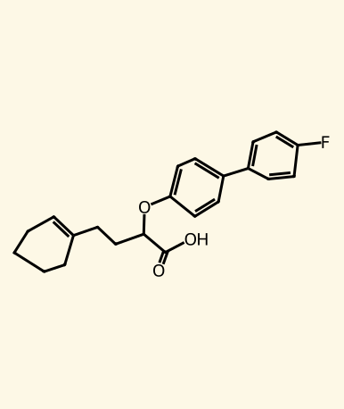 O=C(O)C(CCC1=CCCCC1)Oc1ccc(-c2ccc(F)cc2)cc1